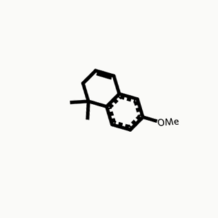 COc1ccc2c(c1)C=CCC2(C)C